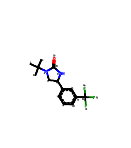 CC(C)(C)N1CC(c2cccc(C(F)(F)F)c2)NC1=O